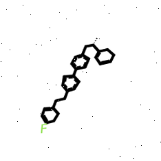 C[C@@H](Cc1ccc(-c2ccc(CCC3=CC=C(F)CC3)cc2)cc1)C1=CC=CCC1